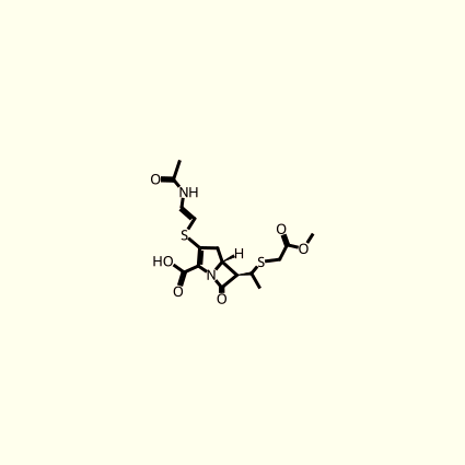 COC(=O)CSC(C)[C@H]1C(=O)N2C(C(=O)O)=C(SC=CNC(C)=O)C[C@H]12